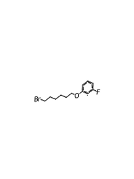 Fc1[c]c(OCCCCCCBr)ccc1